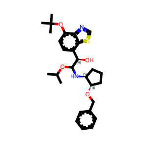 CC(C)OC(N[C@H]1CCC[C@@H]1OCc1ccccc1)[C@H](O)c1ccc(OC(C)(C)C)c2ncsc12